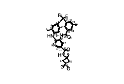 Cc1ccccc1Nc1ncc(C(=O)NC2(C)CS(=O)(=O)C2)cc1NC(=O)c1cc(F)cc(C(F)(F)F)c1